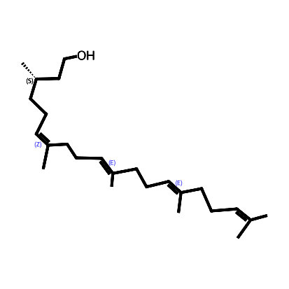 CC(C)=CCC/C(C)=C/CC/C(C)=C/CC/C(C)=C\CC[C@H](C)CCO